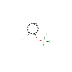 N#Cc1ccccc1OC(F)(F)Cl